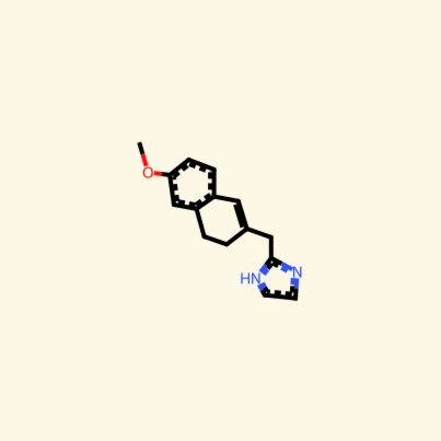 COc1ccc2c(c1)CCC(Cc1ncc[nH]1)=C2